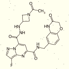 CC(=O)N1CC(NNC(=O)c2cc(C(=O)NCc3ccc4c(c3)NC(=O)CO4)nc3c(F)cnn23)C1